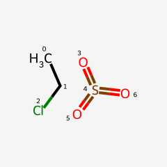 CCCl.O=S(=O)=O